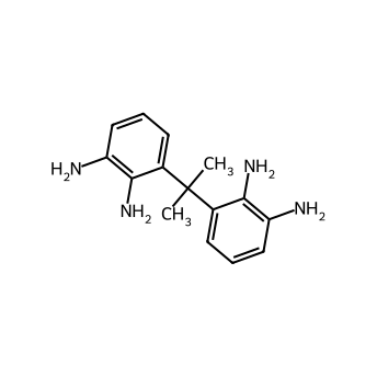 CC(C)(c1cccc(N)c1N)c1cccc(N)c1N